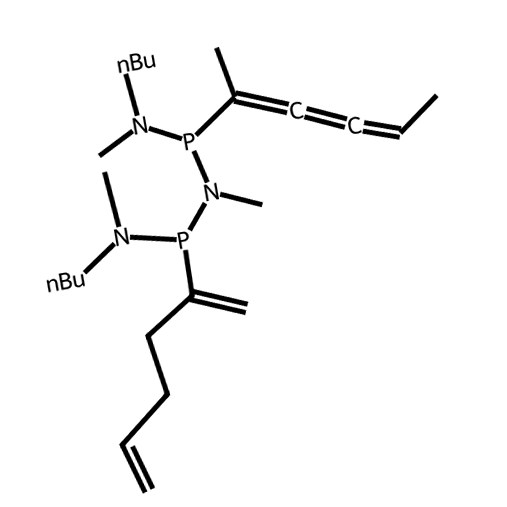 C=CCCC(=C)P(N(C)CCCC)N(C)P(C(C)=C=C=CC)N(C)CCCC